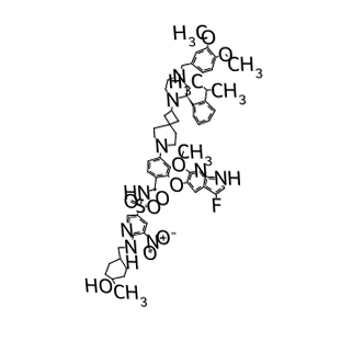 COc1ccc(CN2CCN(C3CC4(CCN(c5ccc(C(=O)NS(=O)(=O)c6cnc(NCC7CCC(C)(O)CC7)c([N+](=O)[O-])c6)c(Oc6cc7c(F)c[nH]c7nc6OC)c5)CC4)C3)[C@H](c3ccccc3C(C)C)C2)cc1OC